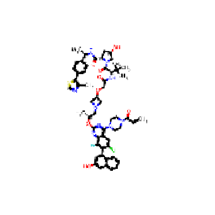 C=CC(=O)N1CCN(c2nc(O[C@H](C)CN3CC(OCC(=O)N[C@H](C(=O)N4C[C@H](O)C[C@H]4C(=O)N[C@@H](C)c4ccc(-c5scnc5C)cc4)C(C)(C)C)C3)nc3c(F)c(-c4cc(O)cc5ccccc45)c(Cl)cc23)CC1